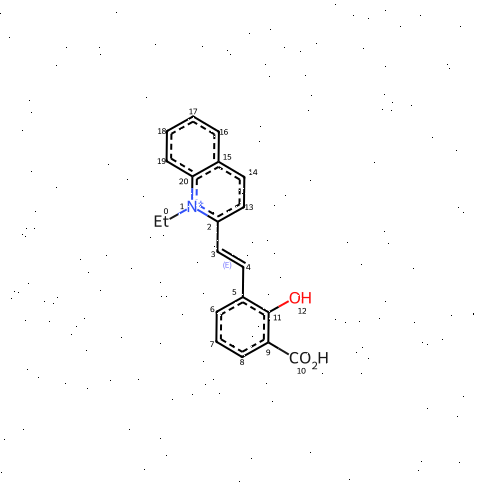 CC[n+]1c(/C=C/c2cccc(C(=O)O)c2O)ccc2ccccc21